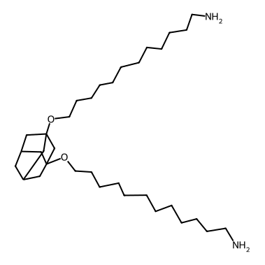 NCCCCCCCCCCCCOC12CC3CC(C1)CC(OCCCCCCCCCCCCN)(C3)C2